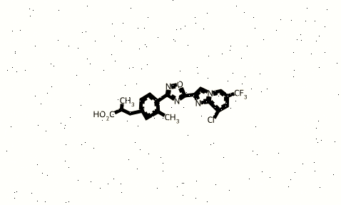 Cc1cc(CC(C)C(=O)O)ccc1-c1noc(-c2cn3cc(C(F)(F)F)cc(Cl)c3n2)n1